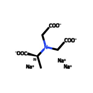 C[C@@H](C(=O)[O-])N(CC(=O)[O-])CC(=O)[O-].[Na+].[Na+].[Na+]